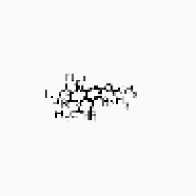 CC(=N)N1C(=N)C(C)(C)Nc2cc(OC(C)C)c(Br)c(F)c21